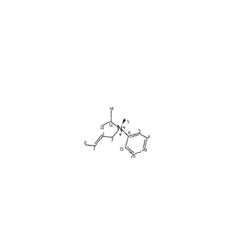 C/C=C/C[N@@+](C)(c1ccccc1)C(C)C